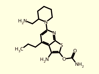 CCCc1cc(N2CCCCC2CN)nc2sc(OC(N)=O)c(N)c12